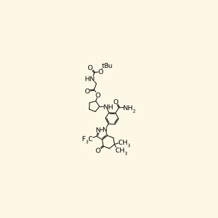 CC1(C)CC(=O)c2c(C(F)(F)F)nn(-c3ccc(C(N)=O)c(NC4CCCC4OC(=O)CNC(=O)OC(C)(C)C)c3)c2C1